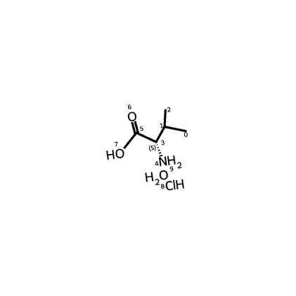 CC(C)[C@H](N)C(=O)O.Cl.O